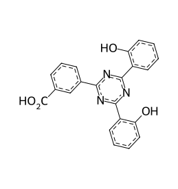 O=C(O)c1cccc(-c2nc(-c3ccccc3O)nc(-c3ccccc3O)n2)c1